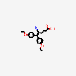 CCOc1ccc(C(=C(C#N)CCCC(=O)O)c2ccc(OCC)cc2)cc1